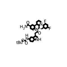 CC(C)(C)OC(=O)Nc1ccc2[nH]cc(CC(=O)N[C@@H](Cc3cc(F)cc(F)c3)c3ncccc3-c3cccc(C(N)=O)c3)c2c1